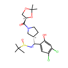 CC1(C)OC[C@H](C(=O)N2CC[C@H](C(N[S+]([O-])C(C)(C)C)c3cc(Cl)c(Cl)cc3O)C2)O1